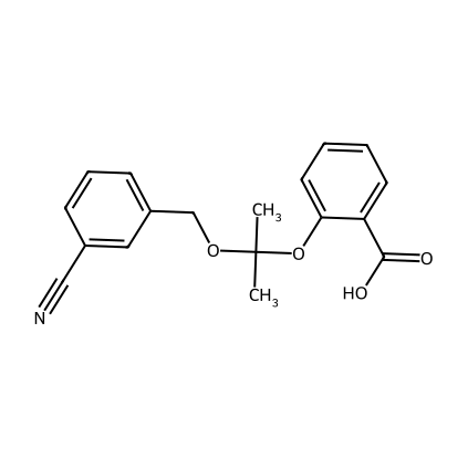 CC(C)(OCc1cccc(C#N)c1)Oc1ccccc1C(=O)O